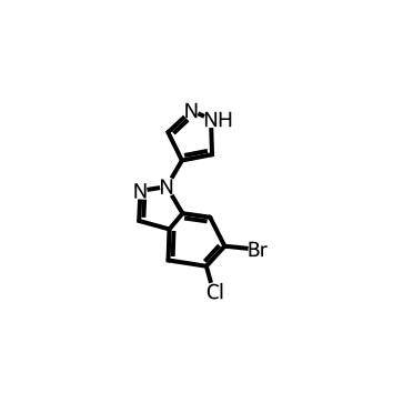 Clc1cc2cnn(-c3cn[nH]c3)c2cc1Br